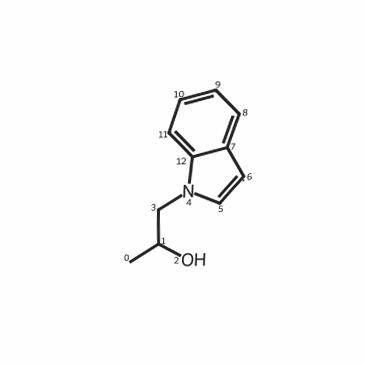 CC(O)Cn1c[c]c2ccccc21